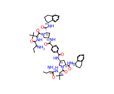 CC[C@H](N)C(=O)N[C@H](C(=O)N1C[C@@H](NC(=O)c2ccc(C(=O)N[C@H]3C[C@@H](C(=O)N[C@@H]4CCCc5ccccc54)N(C(=O)[C@@H](NC(=O)[C@@H](N)CC)C(C)(C)C)C3)cc2)C[C@H]1C(=O)N[C@@H]1CCCc2ccccc21)C(C)(C)C